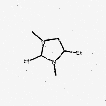 CCC1CN(C)C(CC)N1C